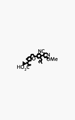 COc1cc(-c2ccc(C3CCc4ccc([C@H](C5CC5)[C@H](C)C(=O)O)cc4O3)cc2CN(C)C)c(C#N)cn1